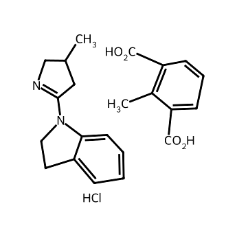 CC1CN=C(N2CCc3ccccc32)C1.Cc1c(C(=O)O)cccc1C(=O)O.Cl